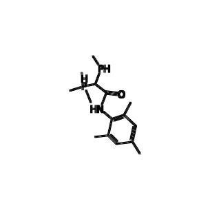 CPC(C(=O)Nc1c(C)cc(C)cc1C)[PH](C)(C)C